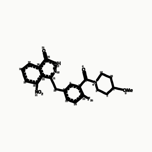 COC1CCN(C(=O)c2cc(Cc3n[nH]c(=O)c4cccc([N+](=O)[O-])c34)ccc2F)CC1